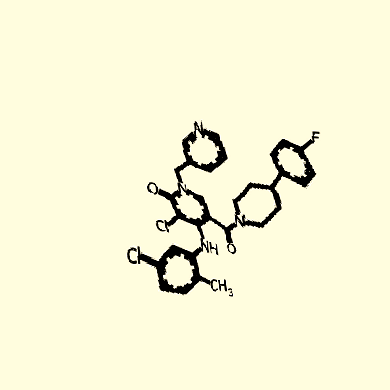 Cc1ccc(Cl)cc1Nc1c(C(=O)N2CCC(c3ccc(F)cc3)CC2)cn(Cc2cccnc2)c(=O)c1Cl